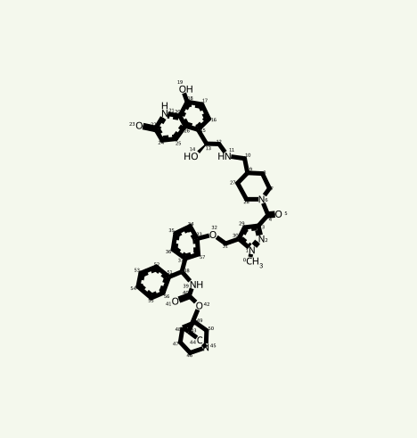 Cn1nc(C(=O)N2CCC(CNC[C@@H](O)c3ccc(O)c4[nH]c(=O)ccc34)CC2)cc1COc1cccc(C(NC(=O)OC2CN3CCC2CC3)c2ccccc2)c1